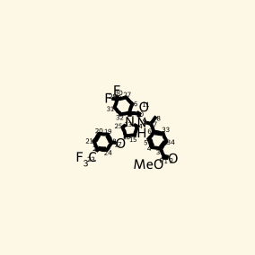 COC(=O)c1ccc(C(C)NC(=O)C2(N3CC[C@@H](Oc4cccc(C(F)(F)F)c4)C3)CCC(F)(F)CC2)cc1